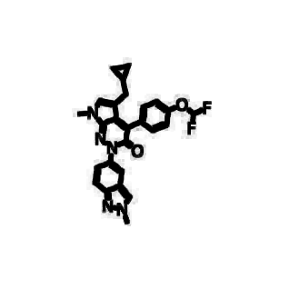 Cn1cc2cc(-n3nc4c(c(CC5CC5)cn4C)c(-c4ccc(OC(F)F)cc4)c3=O)ccc2n1